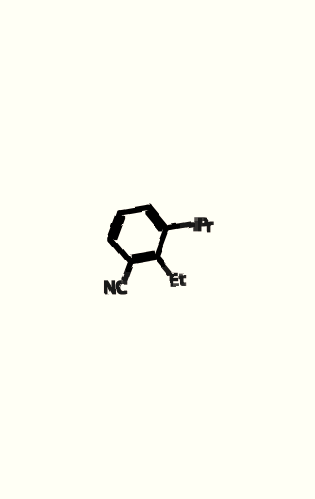 CCc1c(C#N)cccc1C(C)C